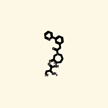 CC(C)CC(N)C(=O)N[C@H]1CCCN(C(=O)Cc2cccc(-c3ccccn3)c2)CC1=O